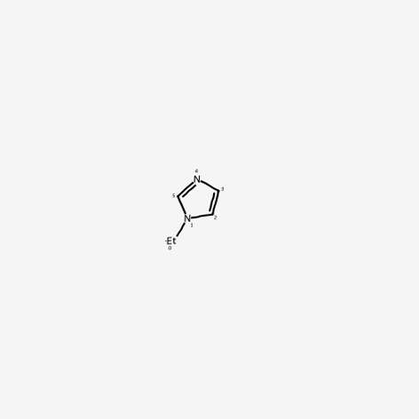 C[CH]n1ccnc1